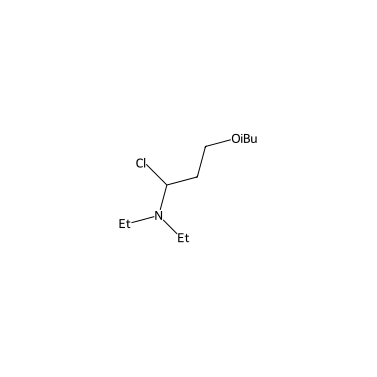 CCN(CC)C(Cl)CCOCC(C)C